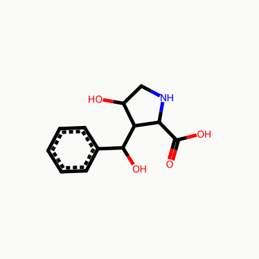 O=C(O)C1NCC(O)C1C(O)c1ccccc1